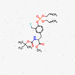 C=CCOP(=O)(OCC=C)Oc1ccc(CC(NC(=O)OC(C)(C)C)C(=O)OC)cc1CF